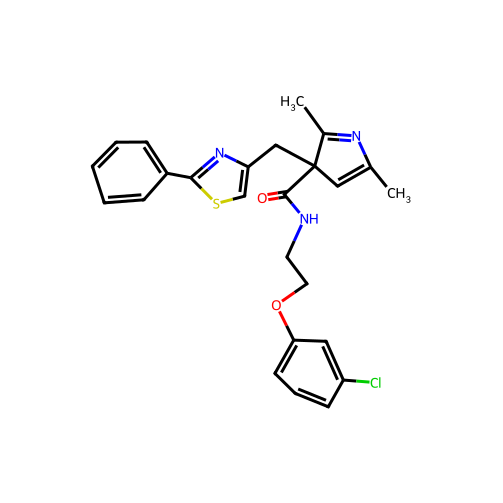 CC1=CC(Cc2csc(-c3ccccc3)n2)(C(=O)NCCOc2cccc(Cl)c2)C(C)=N1